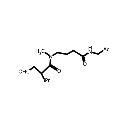 CC(=O)CNC(=O)CCCN(C)C(=O)C(CC=O)C(C)C